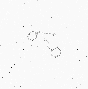 [O]CC(CN1CC=CCC1)OCCN1CC=CCC1